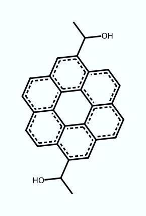 CC(O)c1cc2ccc3ccc4c(C(C)O)cc5ccc6ccc1c1c6c5c4c3c21